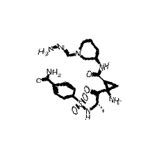 C[C@H](NS(=O)(=O)c1ccc(C(N)=O)cc1)C(=O)C1([NH])C[C@@H]1C(=O)NC1CCCN(C=NN)C1